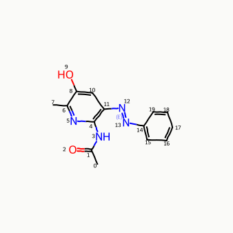 CC(=O)Nc1nc(C)c(O)cc1/N=N/c1ccccc1